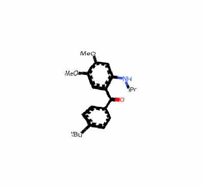 COc1cc(NC(C)C)c(C(=O)c2ccc(C(C)(C)C)cc2)cc1OC